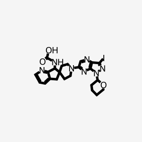 O=C(O)NC1c2ncccc2CC12CCN(c1cnc3c(I)nn(C4CCCCO4)c3n1)CC2